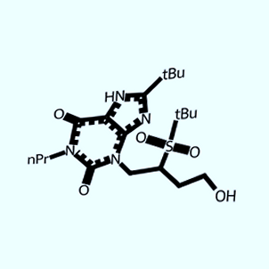 CCCn1c(=O)c2[nH]c(C(C)(C)C)nc2n(CC(CCO)S(=O)(=O)C(C)(C)C)c1=O